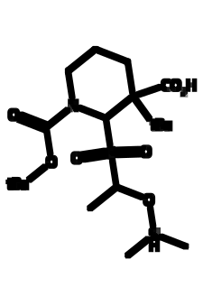 CC(O[SiH](C)C)S(=O)(=O)C1N(C(=O)OC(C)(C)C)CCCC1(C(=O)O)C(C)(C)C